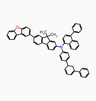 CC1(C)c2cc(-c3ccc4oc5ccccc5c4c3)ccc2-c2ccc(N(c3ccc(C4C=CC=C(c5ccccc5)C4)cc3)c3ccc(-c4ccccc4)c4ccccc34)cc21